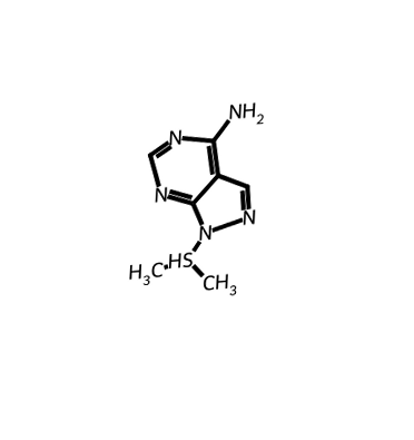 C[SH](C)n1ncc2c(N)ncnc21